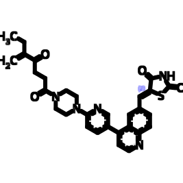 C=C(CC)C(=O)CCC(=O)N1CCN(c2ccc(-c3ccnc4ccc(/C=C5\SC(=O)NC5=O)cc34)cn2)CC1